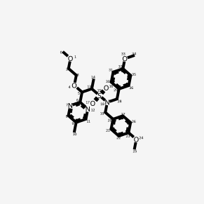 COCCOC(c1ncc(C)cn1)C(C)S(=O)(=O)N(Cc1ccc(OC)cc1)Cc1ccc(OC)cc1